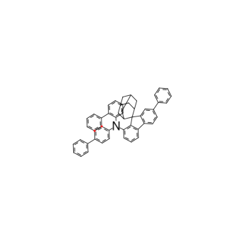 c1ccc(-c2ccc(N(c3ccccc3-c3ccccc3)c3cccc4c3C3(c5cc(-c6ccccc6)ccc5-4)C4CC5CC(C4)CC3C5)cc2)cc1